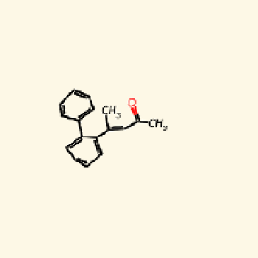 CC(=O)/C=C(\C)c1ccccc1-c1ccccc1